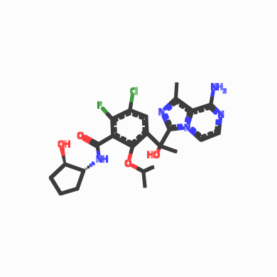 Cc1nc(C(C)(O)c2cc(Cl)c(F)c(C(=O)N[C@@H]3CCC[C@H]3O)c2OC(C)C)n2ccnc(N)c12